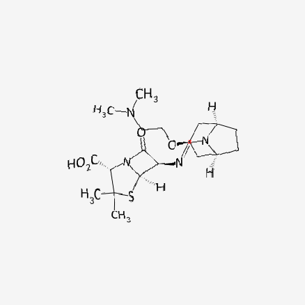 CN(C)CCO[C@H]1C[C@H]2CC[C@@H](C1)N2/C=N/[C@@H]1C(=O)N2[C@@H]1SC(C)(C)[C@@H]2C(=O)O